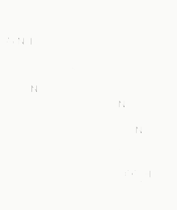 CC(=O)Nc1nc2c(s1)-c1c(c(C(=O)O)nn1-c1ccccc1)CC2